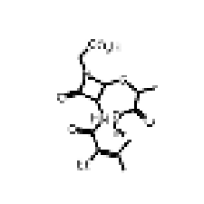 CCC(C(=O)NC1C(=O)N(CC(=O)O)C1SC(C)C(=O)OC(C)C)=C(C)C